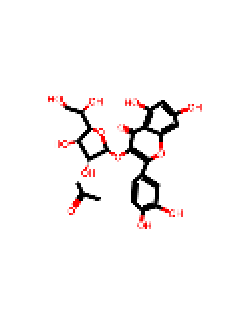 CC(C)=O.O=c1c(O[C@@H]2O[C@H]([C@H](O)CO)[C@H](O)[C@H]2O)c(-c2ccc(O)c(O)c2)oc2cc(O)cc(O)c12